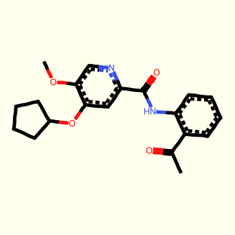 COc1cnc(C(=O)Nc2ccccc2C(C)=O)cc1OC1CCCC1